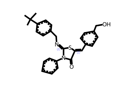 CC(C)(C)c1ccc(C/N=C2\S/C(=C\c3ccc(CO)cc3)C(=O)N2c2ccccc2)cc1